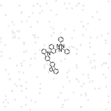 c1ccc(-c2nc(-c3ccccc3)nc(-c3ccc(-n4c5ccccc5c5ccc(-c6ccc7c(c6)oc6ccccc67)cc54)c4ccccc34)n2)cc1